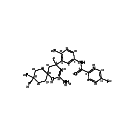 CC1(c2cc(NC(=O)c3ccc(F)cn3)ccc2F)CC2(CCC(F)(F)CC2)OC(N)=N1